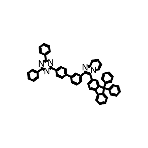 c1ccc(-c2nc(-c3ccccc3)nc(-c3ccc(-c4cccc(-c5nc6ccccn6c5-c5ccc6c(c5)C(c5ccccc5)(c5ccccc5)c5ccccc5-6)c4)cc3)n2)cc1